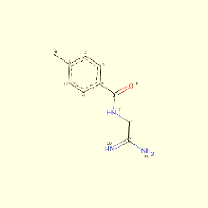 Cc1ccc(C(=O)NCC(=N)N)cc1